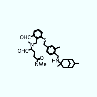 CNC(=O)CCC(C=O)N(C)Cc1c(C=O)cccc1SCc1ccc(CNC2(C)CC3CC(C)CC(C3)C2)c(C)c1